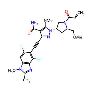 C=CC(=O)N1C[C@@H](n2nc(C#Cc3c(F)cc4c(nc(C)n4C)c3F)c(C(N)=O)c2NC)C[C@@H]1COC